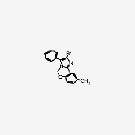 Cc1ccc2c(c1)-c1nc(Br)c(-c3ccccc3)n1CO2